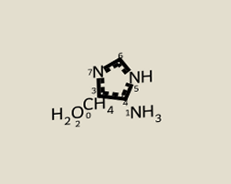 C.N.O.c1c[nH]cn1